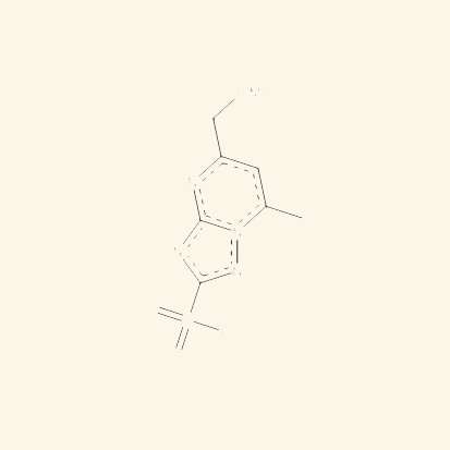 COCc1cc(C)n2nc(S(=O)(=O)Cl)nc2n1